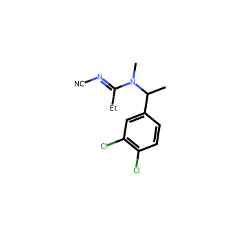 CC/C(=N\C#N)N(C)C(C)c1ccc(Cl)c(Cl)c1